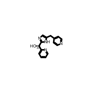 O[C@H](c1ccccn1)c1ncc(Cc2ccncc2)[nH]1